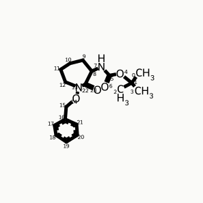 CC(C)(C)OC(=O)NC1CCCCN(OCc2ccccc2)C1=O